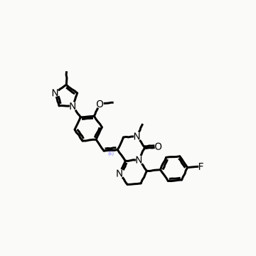 COc1cc(/C=C2\CN(C)C(=O)N3C2=NCCC3c2ccc(F)cc2)ccc1-n1cnc(C)c1